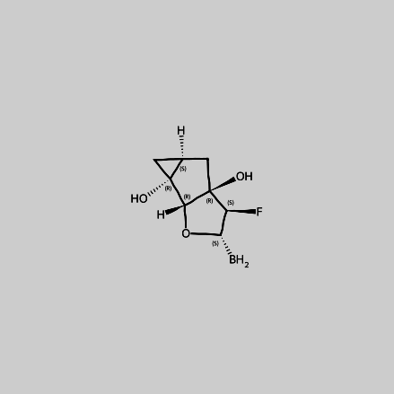 B[C@@H]1O[C@@H]2[C@@]3(O)C[C@H]3C[C@]2(O)[C@H]1F